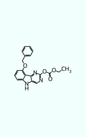 CCOC(=O)Oc1ncc2[nH]c3cccc(OCc4ccccc4)c3c2n1